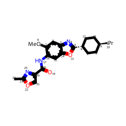 COc1cc2nc([C@H]3CC[C@H](C(C)C)CC3)oc2cc1NC(=O)c1coc(C)n1